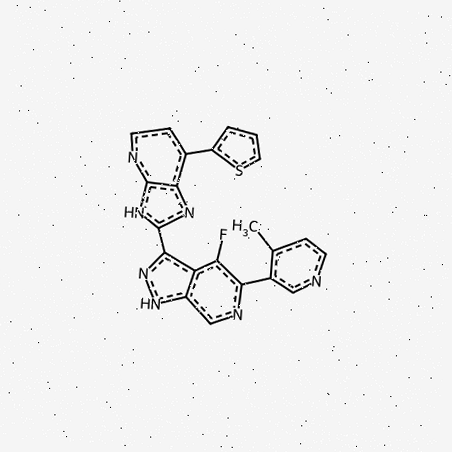 Cc1ccncc1-c1ncc2[nH]nc(-c3nc4c(-c5cccs5)ccnc4[nH]3)c2c1F